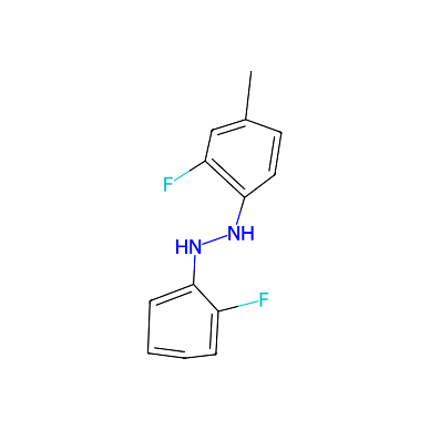 Cc1ccc(NNc2ccccc2F)c(F)c1